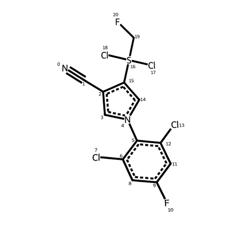 N#Cc1cn(-c2c(Cl)cc(F)cc2Cl)cc1S(Cl)(Cl)CF